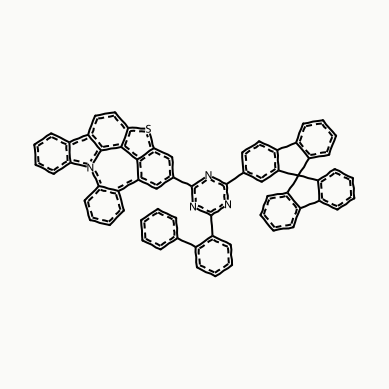 c1ccc(-c2ccccc2-c2nc(-c3ccc4c(c3)C3(c5ccccc5-c5ccccc53)c3ccccc3-4)nc(-c3cc4sc5ccc6c7ccccc7n7c8ccccc8c(c3)c4c5c67)n2)cc1